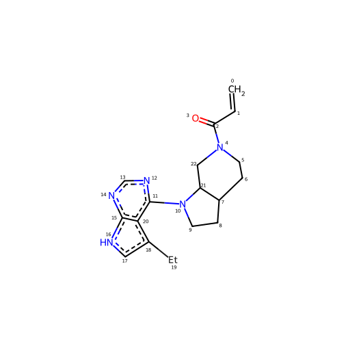 C=CC(=O)N1CCC2CCN(c3ncnc4[nH]cc(CC)c34)C2C1